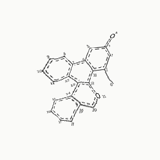 Cc1cc(=O)cc2c3ccccc3c3c4ccccc4coc3c12